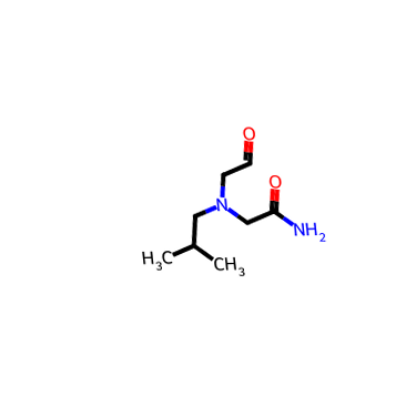 CC(C)CN(CC=O)CC(N)=O